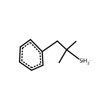 CC(C)([SiH2])Cc1ccccc1